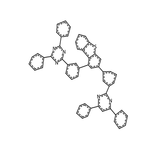 c1ccc(-c2cc(-c3ccccc3)nc(-c3cccc(-c4cc(-c5cccc(-c6nc(-c7ccccc7)nc(-c7ccccc7)n6)c5)c5c(c4)sc4ccccc45)c3)n2)cc1